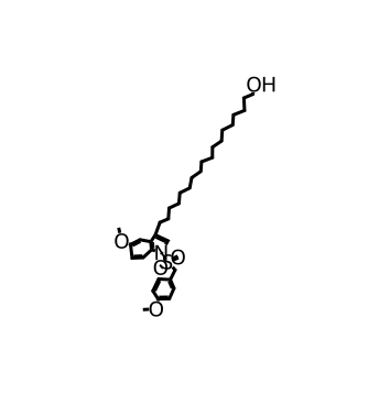 COc1ccc(CS(=O)(=O)n2cc(CCCCCCCCCCCCCCCCCCO)c3cc(OC)ccc32)cc1